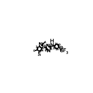 Cc1cc2nc(C)n(-c3cncc(Nc4ccc(OC(F)(F)F)cc4)n3)c2cc1C